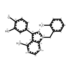 Cc1ccccc1Cn1nc(-c2ccc(Cl)c(O)c2)c2c(N)ncnc21